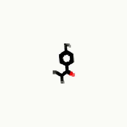 CCC(CC)C(=O)c1ccc([N+](=O)[O-])cc1